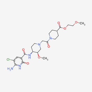 COCCOC(=O)C1CCN(C(=O)CN2CC[C@H](NC(=O)c3cc(Cl)c(N)[nH]c3=O)[C@H](OC)C2)CC1